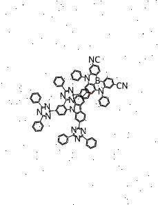 [C-]#[N+]c1ccc2c(c1)N(c1ccccc1)c1cc(-c3ccc4c(c3)c3ccc(-c5nc(-c6ccccc6)nc(-c6ccccc6)n5)cc3n4-c3ccc(-c4nc(-c5ccccc5)nc(-c5ccccc5)n4)cc3-c3nc(-c4ccccc4)nc(-c4ccccc4)n3)cc3c1B2c1ccc(C#N)cc1N3c1ccccc1